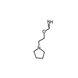 N=COCCN1CCCC1